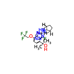 CC(C)(O)c1ccc(OCC(F)(F)F)c2nc(N[C@@H]3[C@@H]4CC[C@H]3CN(c3ncncc3F)C4)nn12